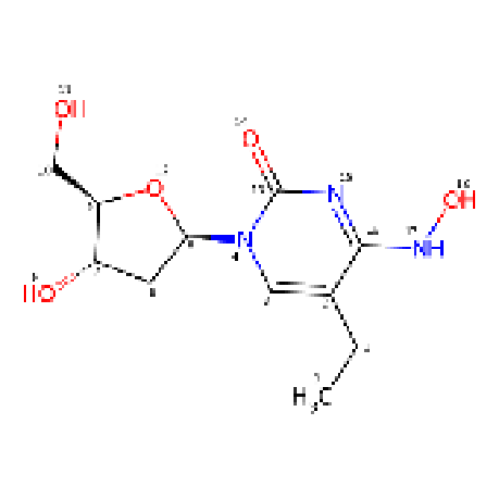 CCc1cn([C@H]2C[C@H](O)[C@@H](CO)O2)c(=O)nc1NO